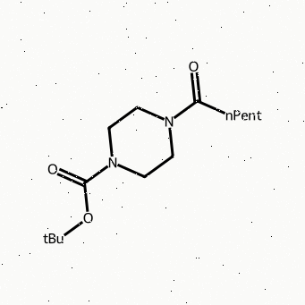 [CH2]CCCCC(=O)N1CCN(C(=O)OC(C)(C)C)CC1